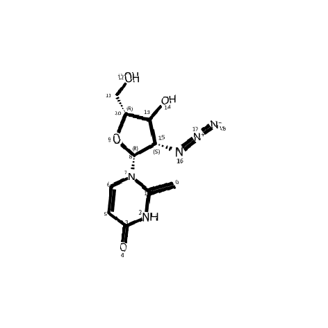 C=C1NC(=O)C=CN1[C@@H]1O[C@H](CO)C(O)[C@@H]1N=[N+]=[N-]